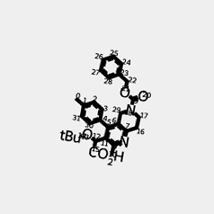 Cc1ccc(-c2c3c(nc(C)c2C(OC(C)(C)C)C(=O)O)CCN(C(=O)OCc2ccccc2)C3)cc1